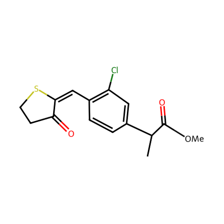 COC(=O)C(C)c1ccc(C=C2SCCC2=O)c(Cl)c1